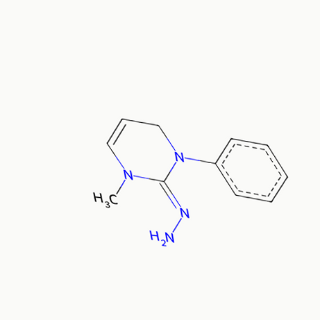 CN1C=CCN(c2ccccc2)C1=NN